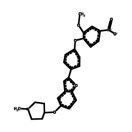 COc1cc([N+](=O)[O-])ccc1Oc1ccc(-c2cc3cc(OC4CCN(C)CC4)ccc3o2)cc1